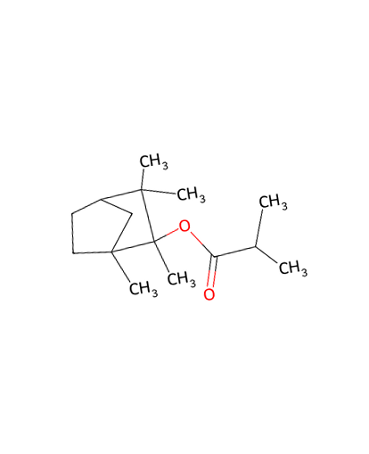 CC(C)C(=O)OC1(C)C2(C)CCC(C2)C1(C)C